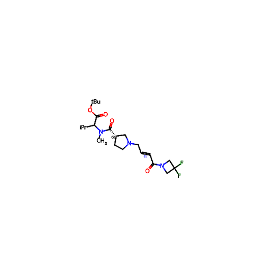 CC(C)C(C(=O)OC(C)(C)C)N(C)C(=O)[C@H]1CCN(C/C=C/C(=O)N2CC(F)(F)C2)C1